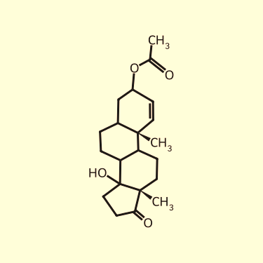 CC(=O)OC1C=C[C@@]2(C)C(CCC3C2CC[C@]2(C)C(=O)CCC32O)C1